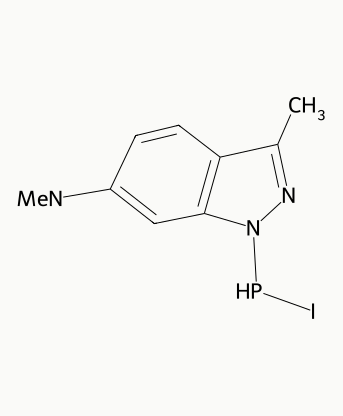 CNc1ccc2c(C)nn(PI)c2c1